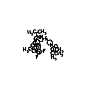 CC(C)c1cnc2c(N(Cc3ccc(F)cc3F)C(=O)OC(C)(C)C)cc(SC3CCN(C(=O)OC(C)(C)C)CC3)nn12